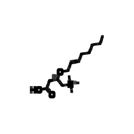 CCCCCC=CCO[C@H](CC(=O)O)C[N+](C)(C)C